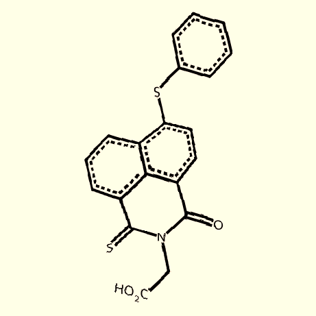 O=C(O)CN1C(=O)c2ccc(Sc3ccccc3)c3cccc(c23)C1=S